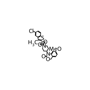 COc1cccc2c1N(C1CCN(S(=O)(=O)c3sc4ccc(Cl)cc4c3C)CC1)C(=O)OC2